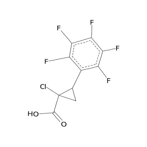 O=C(O)C1(Cl)CC1c1c(F)c(F)c(F)c(F)c1F